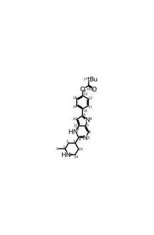 CC1CC(c2ncc3nc(-c4ccc(OC(=O)C(C)(C)C)cc4)cc-3[nH]2)CCN1